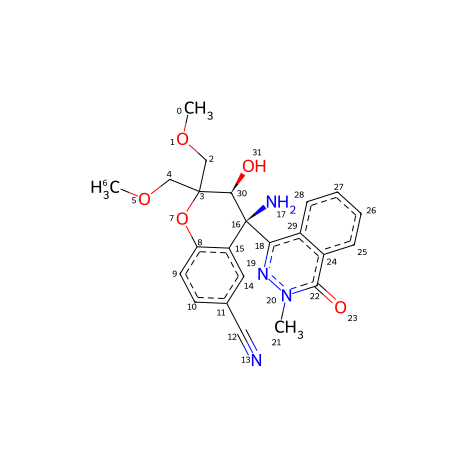 COCC1(COC)Oc2ccc(C#N)cc2[C@@](N)(c2nn(C)c(=O)c3ccccc23)[C@@H]1O